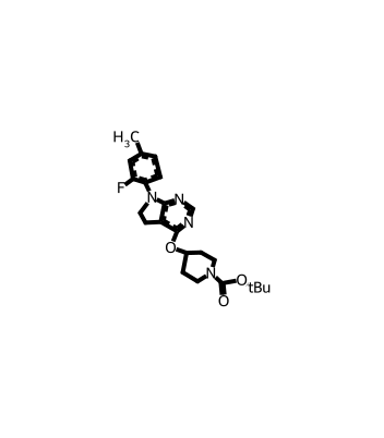 Cc1ccc(N2CCc3c(OC4CCN(C(=O)OC(C)(C)C)CC4)ncnc32)c(F)c1